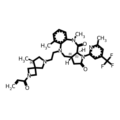 C=CC(=O)N1CC2(CN(CCN3C[C@H]4CC(=O)N(c5cc(C(F)(F)F)cc(C)n5)[C@@H]4C(=O)N(C)c4cccc(C)c43)C[C@@H]2C)C1